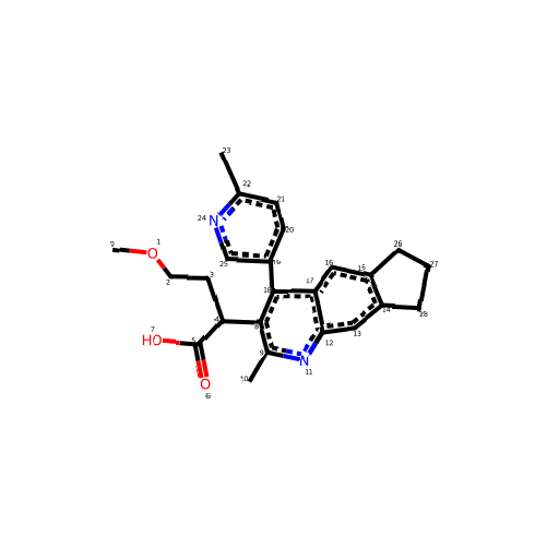 COCCC(C(=O)O)c1c(C)nc2cc3c(cc2c1-c1ccc(C)nc1)CCC3